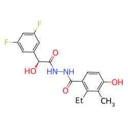 CCc1c(C(=O)NNC(=O)[C@@H](O)c2cc(F)cc(F)c2)ccc(O)c1C